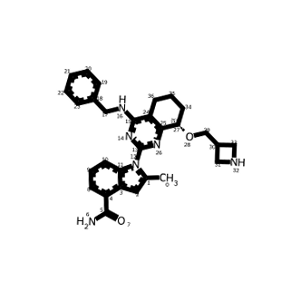 Cc1cc2c(C(N)=O)cccc2n1-c1nc(NCc2ccccc2)c2c(n1)[C@@H](OCC1CNC1)CCC2